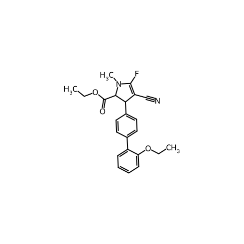 CCOC(=O)C1C(c2ccc(-c3ccccc3OCC)cc2)C(C#N)=C(F)N1C